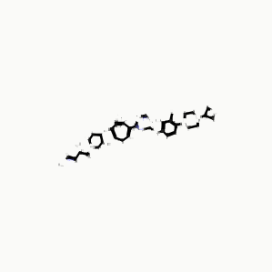 CN/C=N\C(=N/CNc1ccc(N2CCN(C3COC3)CC2)c(C)c1)C1=CCC=C(O[C@H]2CCN(C(=O)[C@@H](O)/C=C/O)C[C@H]2F)C(C#N)=C1